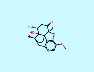 COc1ccc2c3c1O[C@H]1C(=O)C[C@H](O)C4(O)[C@H](CCCC314)C2